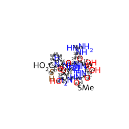 CSCC[C@H](NC(=O)CN)C(=O)N[C@H](C(=O)N[C@@H](CO)C(=O)N[C@@H](CCCNC(=N)N)C(=O)N[C@@H](Cc1ccc(O)cc1)C(=O)N[C@@H](Cc1ccccc1)C(=O)N[C@@H](CS)C(=O)O)[C@@H](C)O